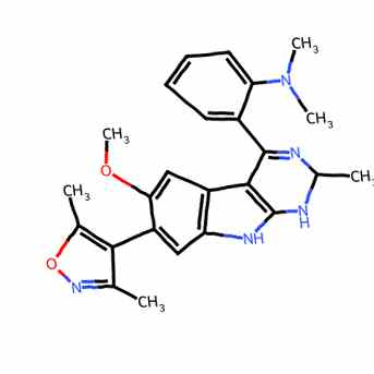 COc1cc2c3c([nH]c2cc1-c1c(C)noc1C)NC(C)N=C3c1ccccc1N(C)C